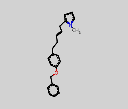 Cn1cccc1CC=CCCc1ccc(OCc2ccccc2)cc1